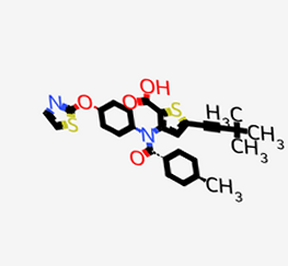 CC(C)(C)C#Cc1cc(N(C(=O)[C@H]2CC[C@H](C)CC2)[C@H]2CC[C@H](Oc3nccs3)CC2)c(C(=O)O)s1